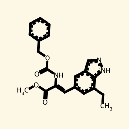 CCc1cc(C=C(NC(=O)OCc2ccccc2)C(=O)OC)cc2cn[nH]c12